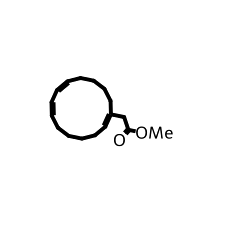 COC(=O)CC1=CCCCCC=CC=CCCCC1